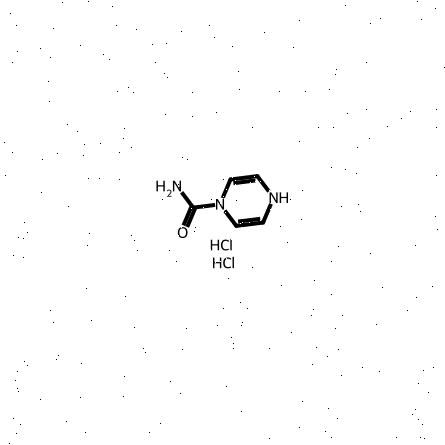 Cl.Cl.NC(=O)N1C=CNC=C1